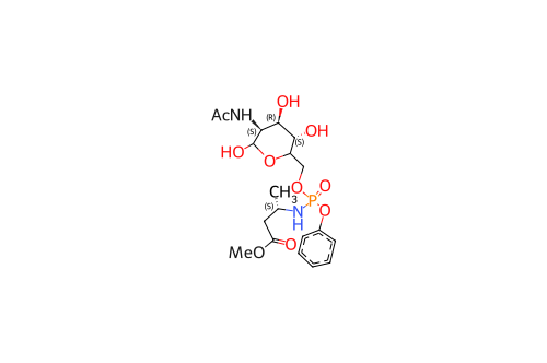 COC(=O)C[C@H](C)NP(=O)(OCC1OC(O)[C@@H](NC(C)=O)[C@@H](O)[C@@H]1O)Oc1ccccc1